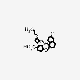 C=CCS[C@@H]1CC[C@@H]1CN1CC2(CCCc3cc(Cl)ccc32)COc2ccc(C(=O)O)cc21